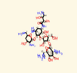 NC[C@@H]1C[C@H](O)[C@@H](N)[C@@H](O[C@H]2[C@H](O[C@@H]3O[C@H](CO)[C@@H](O[C@H]4O[C@@H](CN)[C@@H](O)[C@H](O)[C@H]4N)[C@H]3O)[C@@H](O)[C@H](NC(=O)[C@@H](O)[C@@H](O)CN)C[C@@H]2N)O1